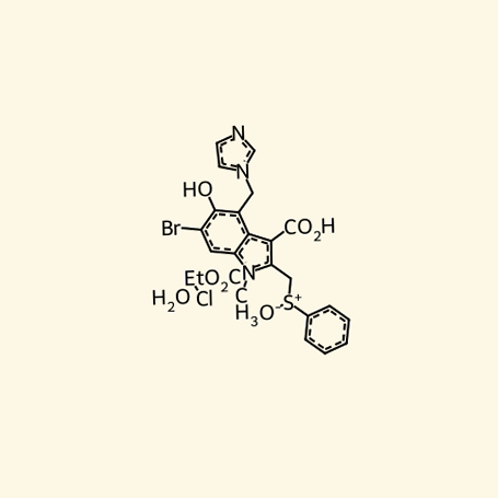 CCOC(=O)Cl.Cn1c(C[S+]([O-])c2ccccc2)c(C(=O)O)c2c(Cn3ccnc3)c(O)c(Br)cc21.O